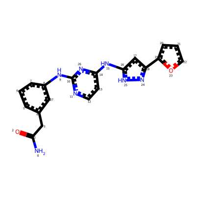 NC(=O)Cc1cccc(Nc2nccc(Nc3cc(-c4ccco4)n[nH]3)n2)c1